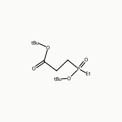 CCP(=O)(CCC(=O)OC(C)(C)C)OC(C)(C)C